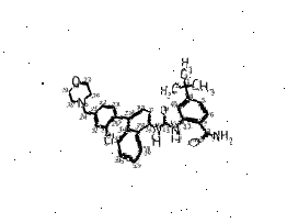 CC(C)(C)c1ccc(C(N)=O)c(NC(=O)Nc2ccc(-c3ccc(CN4CCOCC4)cc3Cl)c3ccccc23)c1